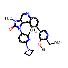 CCOc1cc(-c2ccc3ncc4c(c3c2)n(-c2ccc(N3CCC3)nc2C)c(=O)n4C)cnc1COC